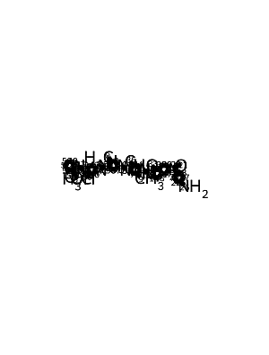 Cc1cc(N=Nc2cc(C)c(N=Nc3ccc4cc(N(C=O)c5ccc(N)cc5)ccc4c3O)cc2C)ccc1N=Nc1ccc(N=Nc2ccccc2S(=O)(=O)O)c(C)c1